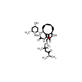 COC(=O)NC1=C2/C(=C\CSSC(C)(C)CC(=O)N(C)C)[C@](O)(C#C/C=C\C#C[C@@H]2O[C@H]2C[C@@H](O)C[C@@H](C)O2)CC1=O